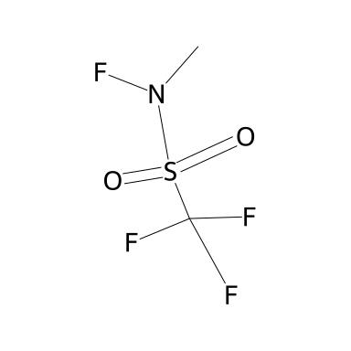 CN(F)S(=O)(=O)C(F)(F)F